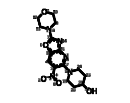 O=[N+]([O-])c1cc2oc(N3CCOCC3)nc2nc1N1CCC(O)CC1